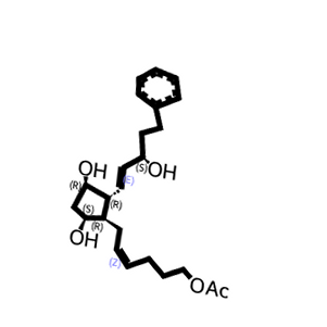 CC(=O)OCCC/C=C\C[C@@H]1[C@@H](/C=C/[C@@H](O)CCc2ccccc2)[C@H](O)C[C@@H]1O